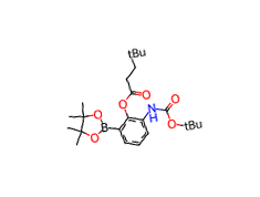 CC(C)(C)CCC(=O)Oc1c(NC(=O)OC(C)(C)C)cccc1B1OC(C)(C)C(C)(C)O1